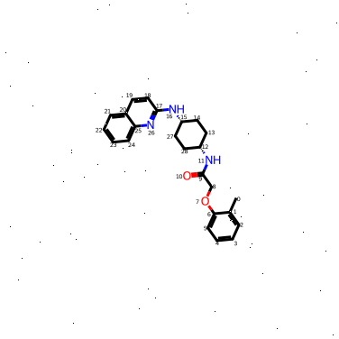 Cc1ccccc1OCC(=O)N[C@H]1CC[C@@H](Nc2ccc3ccccc3n2)CC1